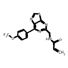 C=CC(=O)NCc1nc(-c2ccc(OC(F)(F)F)cc2)c2ncsc2n1